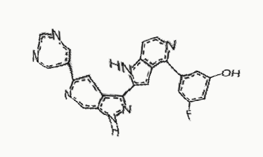 Oc1cc(F)cc(-c2nccc3[nH]c(-c4n[nH]c5cnc(-c6cncnc6)cc45)cc23)c1